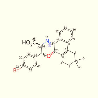 CC1(C)CCC2=C(C1)c1ccccc1/C(=N/[C@@H](Cc1ccc(Br)cc1)C(=O)O)C2=O